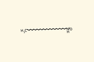 CCCCCCCCCCCCCCCCCCCCCCCCCCN[C]=O